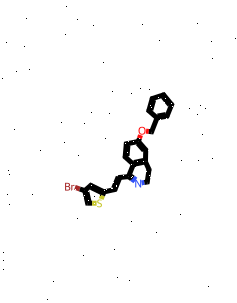 Brc1csc(C=CC2=NCCc3cc(OCc4ccccc4)ccc32)c1